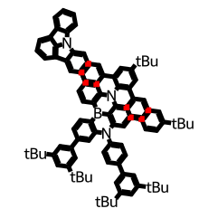 CC(C)(C)c1ccc(-c2cc3c4c(c2)N(c2c(-c5ccccc5)cc(C(C)(C)C)cc2-c2ccccc2)c2cc(-c5ccc6c(c5)c5cccc7c8ccccc8n6c75)ccc2B4c2ccc(-c4cc(C(C)(C)C)cc(C(C)(C)C)c4)cc2N3c2ccc(-c3cc(C(C)(C)C)cc(C(C)(C)C)c3)cc2)cc1